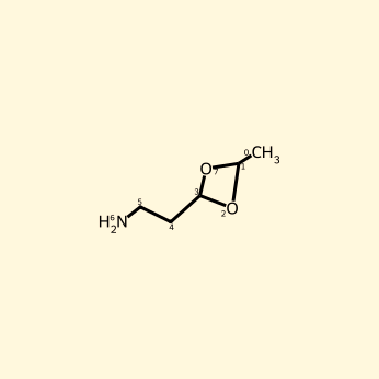 CC1OC(CCN)O1